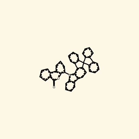 O=c1oc2c(-n3c4ccccc4c4ccc5c(c43)-c3ccccc3C53c4ccccc4-c4ccccc43)cccc2c2ccccc12